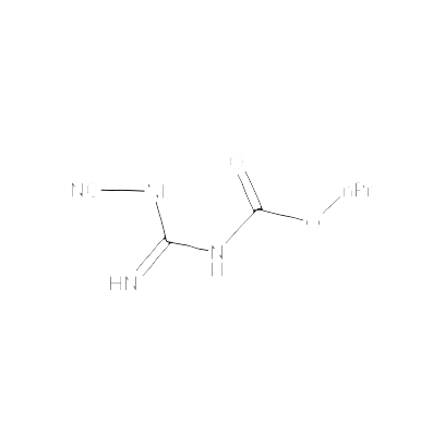 CCCOC(=O)NC(=N)NC#N